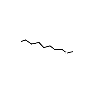 CCCCCCCCOC